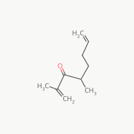 C=CCCC(C)C(=O)C(=C)C